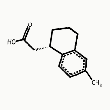 Cc1ccc2c(c1)CCC[C@H]2CC(=O)O